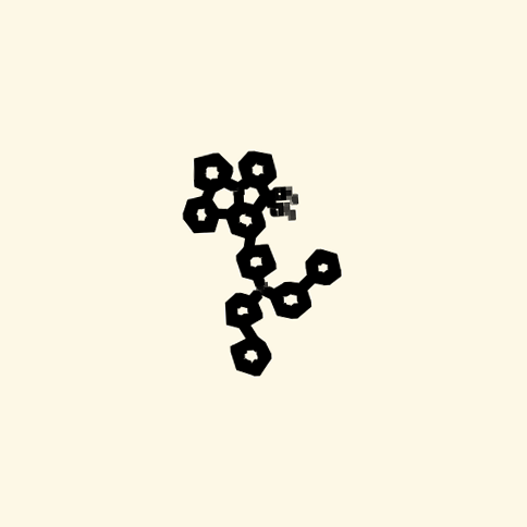 CC1(C)c2ccccc2N2c3ccccc3-c3ccccc3-c3cc(-c4ccc(N(c5cccc(-c6ccccc6)c5)c5cccc(-c6ccccc6)c5)cc4)cc1c32